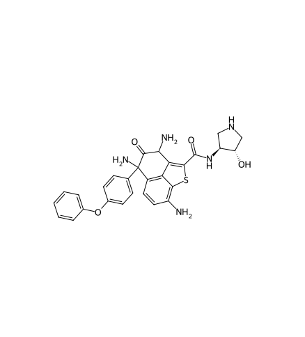 Nc1ccc2c3c(c(C(=O)N[C@H]4CNC[C@@H]4O)sc13)C(N)C(=O)C2(N)c1ccc(Oc2ccccc2)cc1